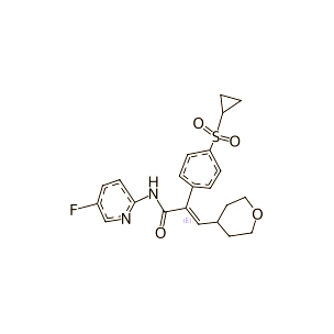 O=C(Nc1ccc(F)cn1)/C(=C/C1CCOCC1)c1ccc(S(=O)(=O)C2CC2)cc1